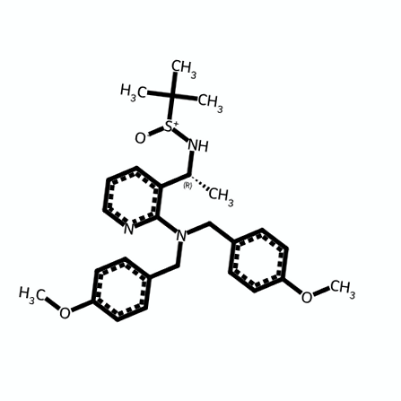 COc1ccc(CN(Cc2ccc(OC)cc2)c2ncccc2[C@@H](C)N[S+]([O-])C(C)(C)C)cc1